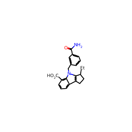 CCC1CCc2c1n(Cc1cccc(C(N)=O)c1)c1c(C(=O)O)cccc21